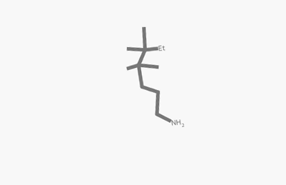 CCC(C)(C)C(C)(C)CCCN